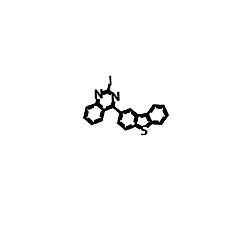 Ic1nc(-c2ccc3sc4ccccc4c3c2)c2ccccc2n1